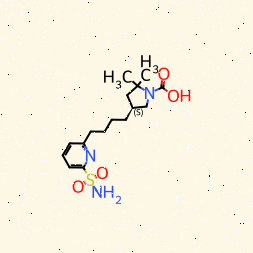 CC1(C)C[C@H](CCCCc2cccc(S(N)(=O)=O)n2)CN1C(=O)O